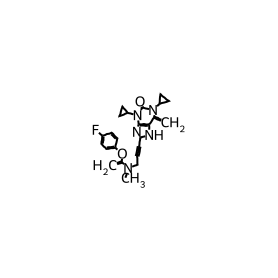 C=C(Oc1ccc(F)cc1)N(C)CC#Cc1nc2c([nH]1)C(=C)N(C1CC1)C(=O)N2C1CC1